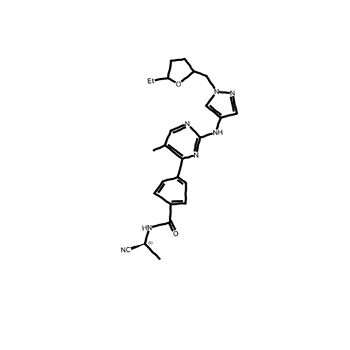 CCC1CCC(Cn2cc(Nc3ncc(C)c(-c4ccc(C(=O)N[C@@H](C)C#N)cc4)n3)cn2)O1